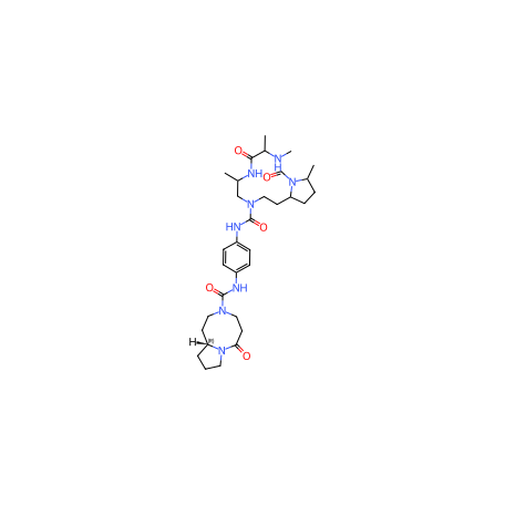 CNC(C)C(=O)NC(C)CN(CCC1CCC(C)N1C=O)C(=O)Nc1ccc(NC(=O)N2CCC(=O)N3CCC[C@@H]3CC2)cc1